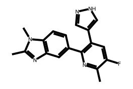 Cc1nc(-c2ccc3c(c2)nc(C)n3C)c(-c2cn[nH]c2)cc1F